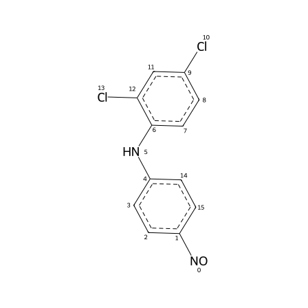 O=Nc1ccc(Nc2ccc(Cl)cc2Cl)cc1